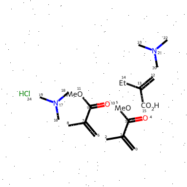 C=C(C)C(=O)OC.C=C(C)C(=O)OC.C=C(CC)C(=O)O.CN(C)C.CN(C)C.Cl